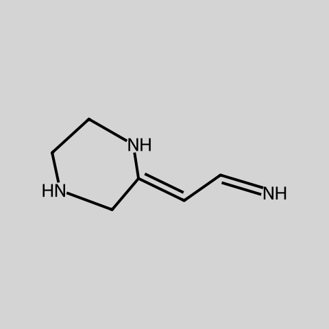 N=C/C=C1/CNCCN1